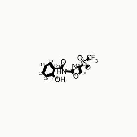 O=C(Nc1nc(S(=O)(=O)C(F)(F)F)co1)c1ccccc1O